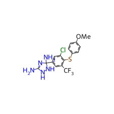 COc1ccc(Sc2c(Cl)cc(C3(N)N=C(N)NN3)cc2C(F)(F)F)cc1